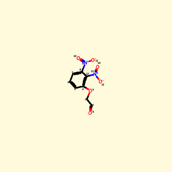 O=[C]COc1cccc([N+](=O)[O-])c1[N+](=O)[O-]